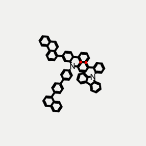 C1=CC(c2ccccc2)C(N(c2ccc(-c3ccc(-c4cccc5ccccc45)cc3)cc2)c2ccc(-c3ccccc3-n3c4ccccc4c4ccccc43)cc2)C=C1c1cccc2c1ccc1ccccc12